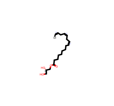 CC/C=C\C/C=C\C/C=C\CCCCCCCC(=O)OC[C@@H](O)CO